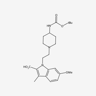 COc1ccc2c(C)c(C(=O)O)n(CCN3CCC(NC(=O)OC(C)(C)C)CC3)c2c1